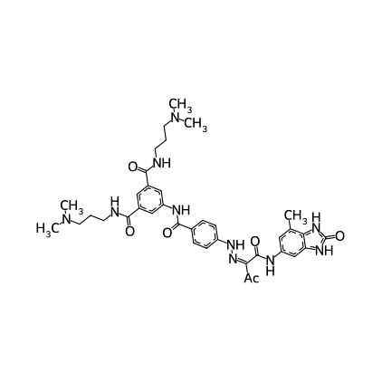 CC(=O)/C(=N/Nc1ccc(C(=O)Nc2cc(C(=O)NCCCN(C)C)cc(C(=O)NCCCN(C)C)c2)cc1)C(=O)Nc1cc(C)c2[nH]c(=O)[nH]c2c1